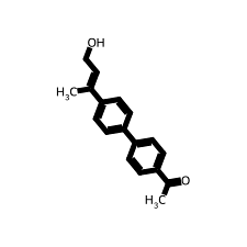 CC(=O)c1ccc(-c2ccc(/C(C)=C/CO)cc2)cc1